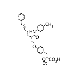 CCOC(Cc1ccc(OCCN(CCCSCc2ccccc2)C(=O)Nc2ccc(C)cc2)cc1)C(=O)O